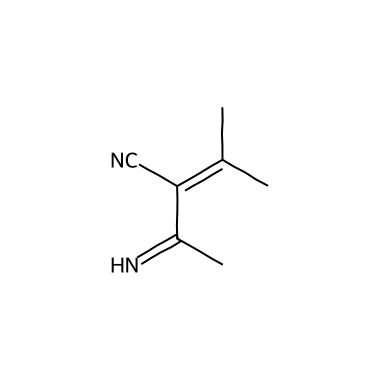 CC(=N)C(C#N)=C(C)C